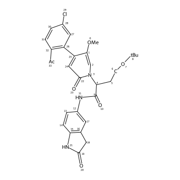 COc1cn(C(CCOC(C)(C)C)C(=O)Nc2ccc3c(c2)CC(=O)N3)c(=O)cc1-c1cc(Cl)ccc1C(C)=O